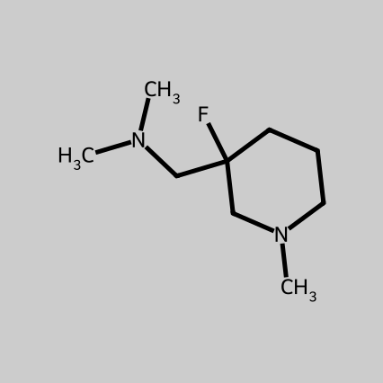 CN(C)CC1(F)CCCN(C)C1